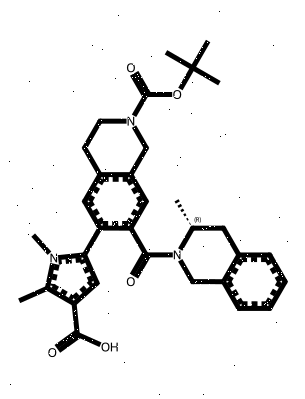 Cc1c(C(=O)O)cc(-c2cc3c(cc2C(=O)N2Cc4ccccc4C[C@H]2C)CN(C(=O)OC(C)(C)C)CC3)n1C